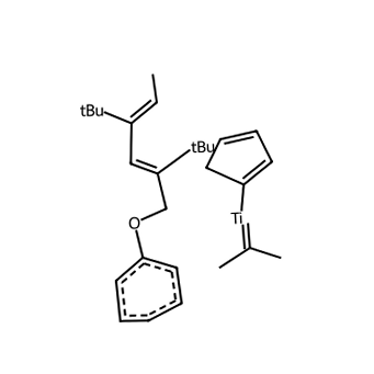 CC=C(C=C(COc1ccccc1)C(C)(C)C)C(C)(C)C.C[C](C)=[Ti][C]1=CC=CC1